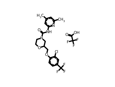 Cc1cc(C)nc(NC(=O)N2CCOC(COc3ccc(C(F)(F)F)cc3Cl)C2)c1.O=C(O)C(F)(F)F